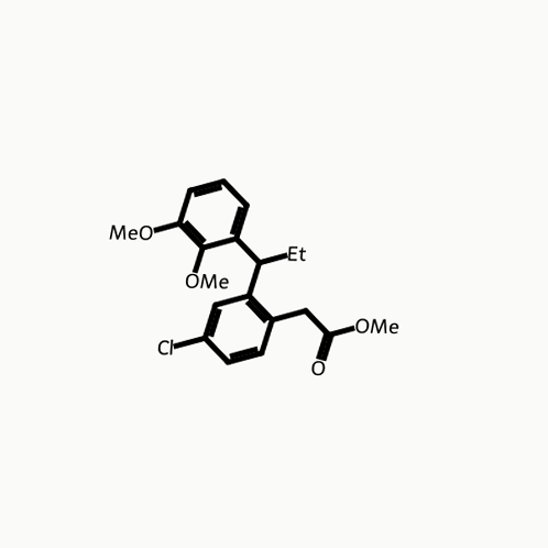 CCC(c1cc(Cl)ccc1CC(=O)OC)c1cccc(OC)c1OC